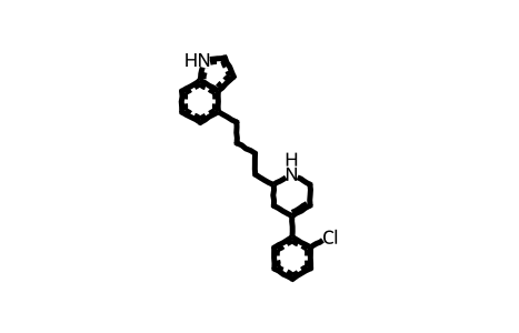 Clc1ccccc1C1=CCNC(CCCCc2cccc3[nH]ccc23)C1